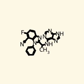 CC(Nc1ncnc2[nH]cnc12)c1nc2ccc(F)c(C#N)c2n1-c1ccccc1